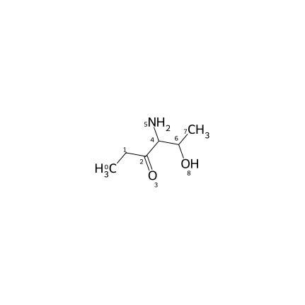 CCC(=O)C(N)C(C)O